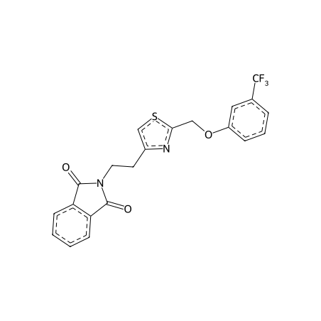 O=C1c2ccccc2C(=O)N1CCc1csc(COc2cccc(C(F)(F)F)c2)n1